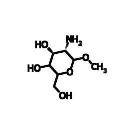 COC1OC(CO)C(O)[C@@H](O)[C@@H]1N